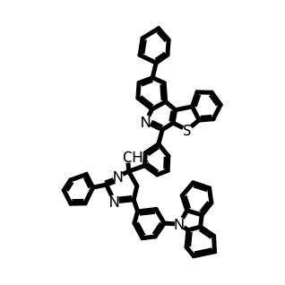 CC1(c2cccc(-c3nc4ccc(-c5ccccc5)cc4c4c3sc3ccccc34)c2)CC(c2cccc(-n3c4ccccc4c4ccccc43)c2)=NC(c2ccccc2)=N1